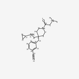 CN(C)CC(=O)N1CCC(CNC2CC2)(Cc2cccc(C#N)c2)CC1